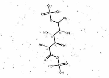 O=C(OP(=O)(O)O)[C@H](O)[C@H](O)[C@H](O)[C@@H](O)C(O)OP(=O)(O)O